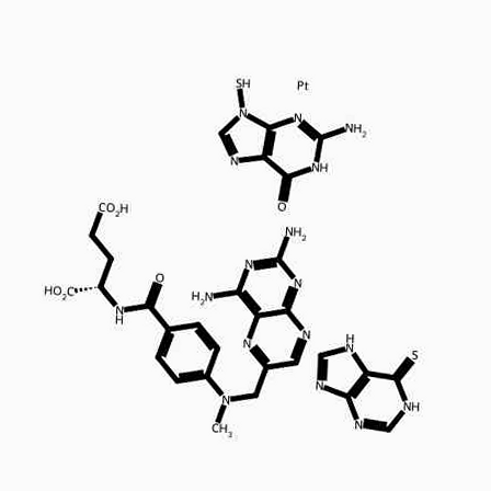 CN(Cc1cnc2nc(N)nc(N)c2n1)c1ccc(C(=O)N[C@@H](CCC(=O)O)C(=O)O)cc1.Nc1nc2c(ncn2S)c(=O)[nH]1.S=c1[nH]cnc2nc[nH]c12.[Pt]